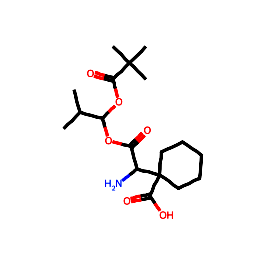 CC(C)C(OC(=O)C(N)C1(C(=O)O)CCCCC1)OC(=O)C(C)(C)C